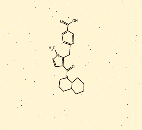 Cn1ncc(C(=O)N2CCCC3CCCCC32)c1Cc1ccc(C(=O)O)cc1